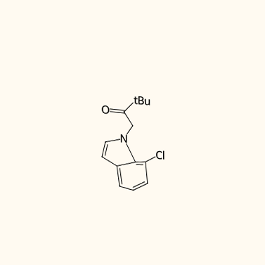 CC(C)(C)C(=O)Cn1ccc2cccc(Cl)c21